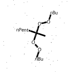 CCCCCC(C)(OOCCCC)OOCCCC